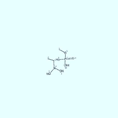 CCN(O)O.COP(=O)(O)O